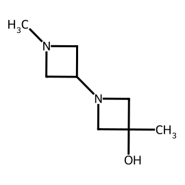 CN1CC(N2CC(C)(O)C2)C1